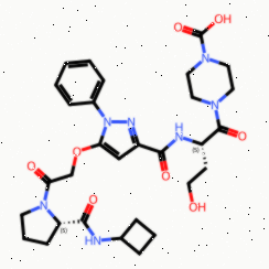 O=C(N[C@@H](CCO)C(=O)N1CCN(C(=O)O)CC1)c1cc(OCC(=O)N2CCC[C@H]2C(=O)NC2CCC2)n(-c2ccccc2)n1